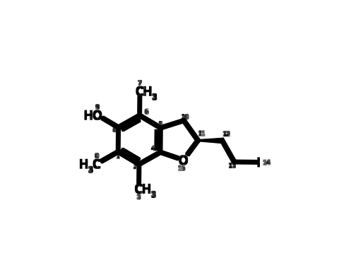 Cc1c(C)c2c(c(C)c1O)C[C@@H](CCI)O2